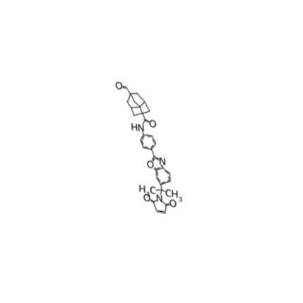 CC(C)(c1ccc2nc(-c3ccc(NC(=O)C45CC6CC7(C=O)CC(C4)C65C7)cc3)oc2c1)N1C(=O)C=CC1=O